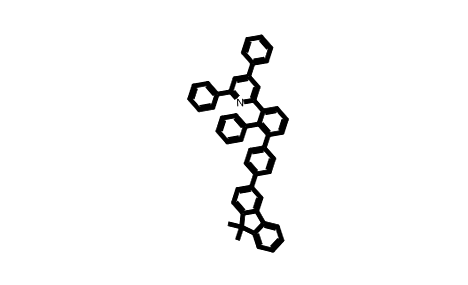 CC1(C)c2ccccc2-c2cc(-c3ccc(-c4cccc(-c5cc(-c6ccccc6)cc(-c6ccccc6)n5)c4-c4ccccc4)cc3)ccc21